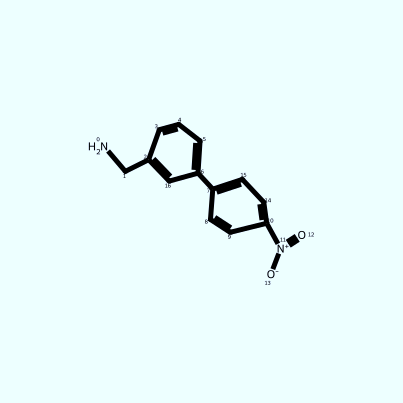 NCc1cccc(-c2ccc([N+](=O)[O-])cc2)c1